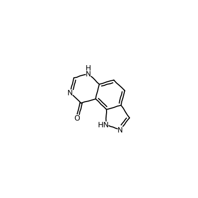 O=c1nc[nH]c2ccc3cn[nH]c3c12